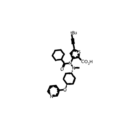 CN([C@H]1CC[C@H](Oc2cccnc2)CC1)N(C(=O)C1CCCCC1)c1cc(C#CC(C)(C)C)sc1C(=O)O